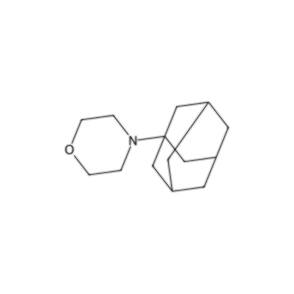 C1CN(C23CC4CC(CC(C4)C2)C3)CCO1